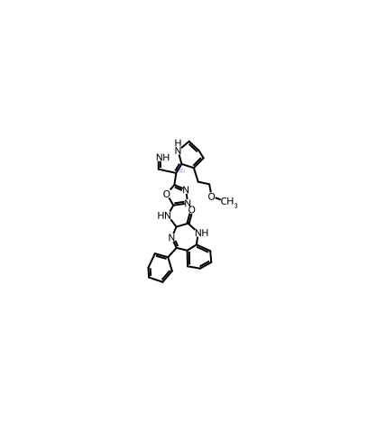 COCCC1=CC=CN/C1=C(\C=N)c1nnc(NC2N=C(c3ccccc3)c3ccccc3NC2=O)o1